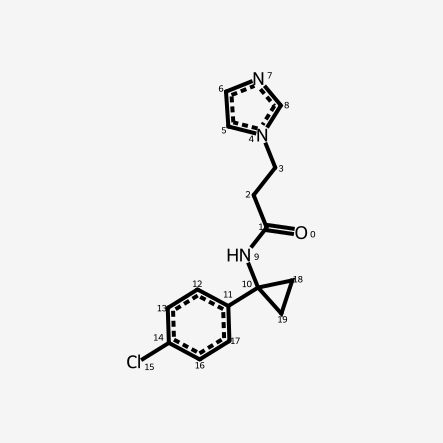 O=C(CCn1ccnc1)NC1(c2ccc(Cl)cc2)CC1